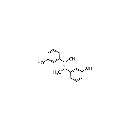 C/C(=C(/C)c1cccc(O)c1)c1cccc(O)c1